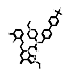 C=C1C=C(CCc2cccc(F)c2F)N(CC(=O)N(Cc2ccc(-c3ccc(C(F)(F)F)cc3)cc2)C2CCN(CC)CC2)c2nn(CC)cc21